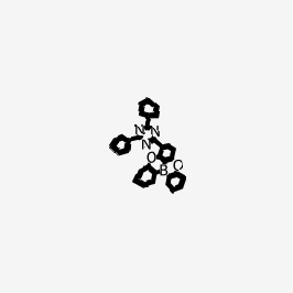 c1ccc(-c2nc(-c3ccccc3)nc(-c3ccc4c5c3Oc3ccccc3B5c3ccccc3O4)n2)cc1